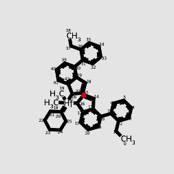 CCc1ccccc1-c1cccc2c1C=C[CH]2[Hf]([CH3])([CH3])(=[C]1CCCCC1)[CH]1C=Cc2c(-c3ccccc3CC)cccc21